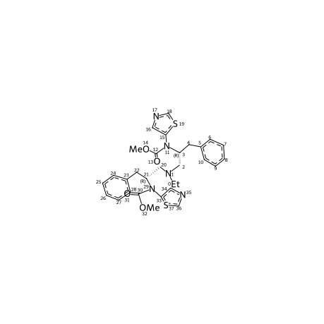 CCN(C[C@@H](Cc1ccccc1)N(C(=O)OC)c1cncs1)C[C@@H](Cc1ccccc1)N(C(=O)OC)c1cncs1